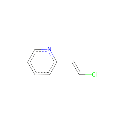 ClC=Cc1ccccn1